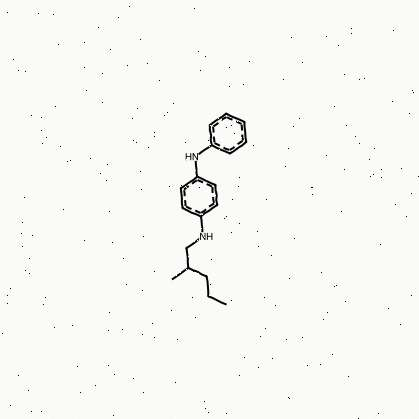 CCCC(C)CNc1ccc(Nc2ccccc2)cc1